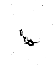 Brc1ccc2ncc(-n3cccn3)nc2c1